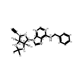 C#C[C@H]1O[C@@H](n2cnc3c(NCc4ccccc4)ncnc32)[C@@H]2OC(C)(C)O[C@@H]21